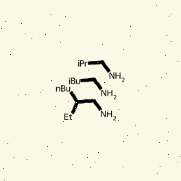 CC(C)CN.CCC(C)CN.CCCCC(CC)CN